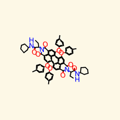 CCC(C(=O)NC1CCCCC1)N1C(=O)c2cc(Oc3ccc(C)cc3)c3c4c(Oc5ccc(C)cc5)cc5c6c(cc(Oc7ccc(C)cc7)c(c7c(Oc8ccc(C)cc8)cc(c2c37)C1=O)c64)C(=O)N(C(CC)C(=O)NC1CCCCC1)C5=O